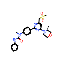 C[C@H]1COCCN1c1cc(CS(C)(=O)=O)nc(-c2ccc(N(C)C(=O)Nc3ccccc3)cc2)n1